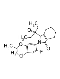 CCP(=O)(CC)C1C2=C(CCCC2)C(=O)N1c1cc(OC(C)C)c(Cl)cc1F